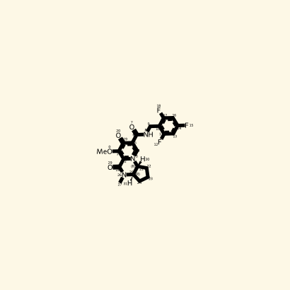 COc1c2n(cc(C(=O)NCc3c(F)cc(F)cc3F)c1=O)[C@@H]1CCC[C@H]1N(C)C2=O